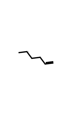 C=CCC[C]C